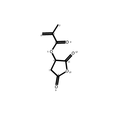 C=C(C)C(=O)OC1CC(=O)OC1=O